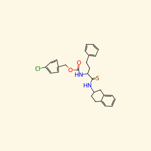 O=C(NC(CCc1ccccc1)C(=S)NC1CCc2ccccc2C1)OCc1ccc(Cl)cc1